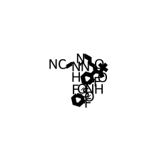 CC1(C)OC(c2ccnc(NCCC#N)n2)=C(c2cccc(NS(=O)(=O)c3c(F)cccc3F)c2F)C1=O